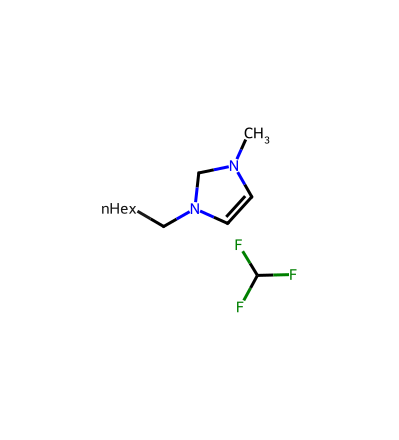 CCCCCCCN1C=CN(C)C1.FC(F)F